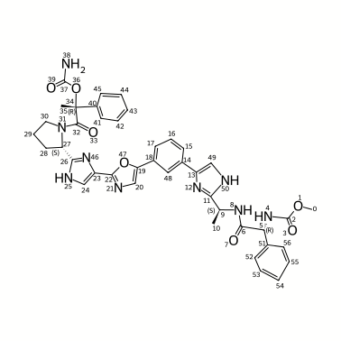 COC(=O)N[C@@H](C(=O)N[C@@H](C)c1nc(-c2cccc(-c3cnc(-c4c[nH]c([C@@H]5CCCN5C(=O)[C@](C)(OC(N)=O)c5ccccc5)n4)o3)c2)c[nH]1)c1ccccc1